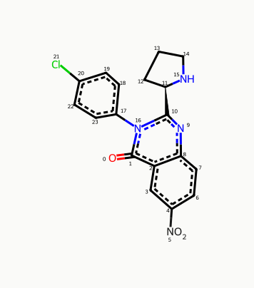 O=c1c2cc([N+](=O)[O-])ccc2nc([C@H]2CCCN2)n1-c1ccc(Cl)cc1